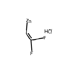 Cl.FC(F)=[CH][Zn]